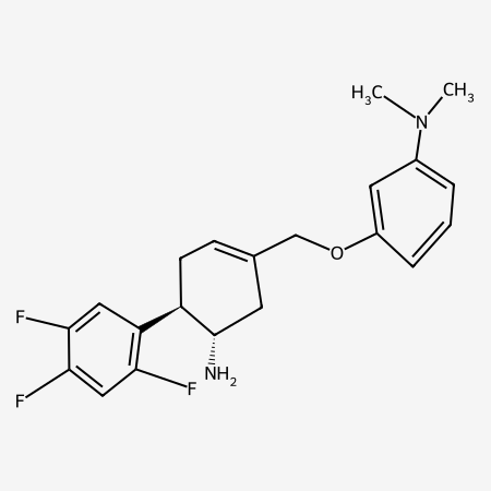 CN(C)c1cccc(OCC2=CC[C@H](c3cc(F)c(F)cc3F)[C@@H](N)C2)c1